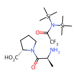 C[C@H](N)C(=O)N1CCC[C@H]1C(=O)O.C[Si](C)(C)N(C(=O)C(F)(F)F)[Si](C)(C)C